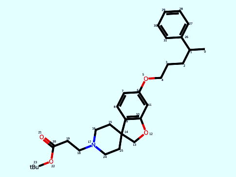 CC(CCCOc1ccc2c(c1)OCC21CCN(CCC(=O)OC(C)(C)C)CC1)c1ccccc1